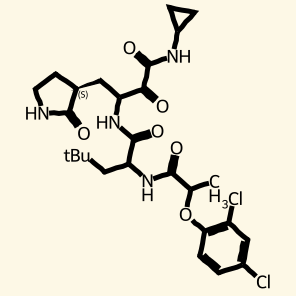 CC(Oc1ccc(Cl)cc1Cl)C(=O)NC(CC(C)(C)C)C(=O)NC(C[C@@H]1CCNC1=O)C(=O)C(=O)NC1CC1